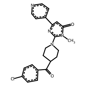 Cn1c(N2CCC(C(=O)c3ccc(Cl)cc3)CC2)nc(-c2ccncc2)cc1=O